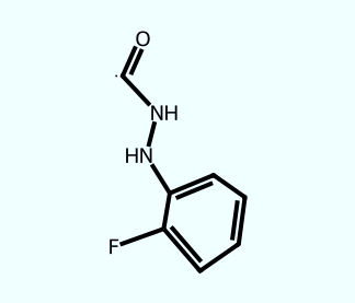 O=[C]NNc1ccccc1F